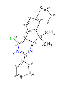 CC1(C)c2nc(-c3ccccc3)nc(Cl)c2-c2ccc3c(c21)CCC=C3